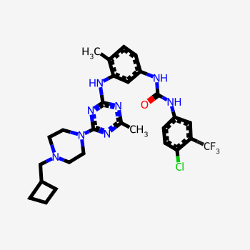 Cc1nc(Nc2cc(NC(=O)Nc3ccc(Cl)c(C(F)(F)F)c3)ccc2C)nc(N2CCN(CC3CCC3)CC2)n1